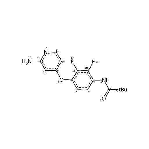 CC(C)(C)C(=O)Nc1ccc(Oc2ccnc(N)c2)c(F)c1F